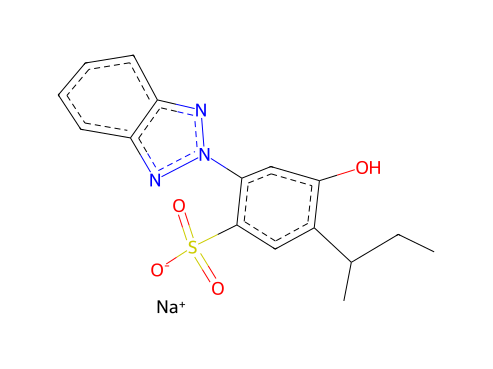 CCC(C)c1cc(S(=O)(=O)[O-])c(-n2nc3ccccc3n2)cc1O.[Na+]